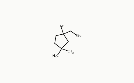 CC(=O)C1(CC(C)(C)C)CCC(C)(C)C1